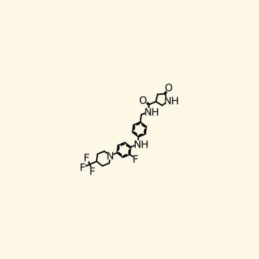 O=C1CC(C(=O)NCc2ccc(Nc3ccc(N4CCC(C(F)(F)F)CC4)cc3F)cc2)CN1